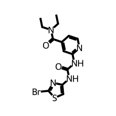 CCN(CC)C(=O)c1ccnc(NC(=O)Nc2csc(Br)n2)c1